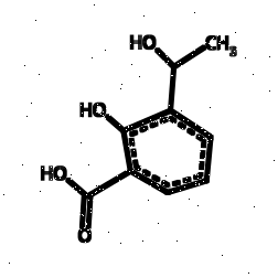 CC(O)c1cccc(C(=O)O)c1O